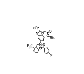 CCCc1nc2cc(N(Cc3ccccc3C(F)(F)F)S(=O)(=O)c3ccc(F)cc3)ccc2n1CC(=O)OC(C)(C)C